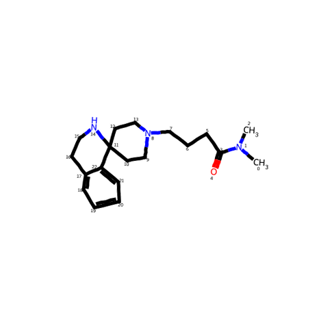 CN(C)C(=O)CCCN1CCC2(CC1)NCCc1ccccc12